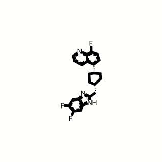 Fc1cc2nc(C[C@H]3CC[C@@H](c4ccc(F)c5ncccc54)CC3)[nH]c2cc1F